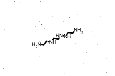 NCCNCCNNCCN